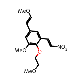 CO/C=C/c1cc(/C=[C]/[N+](=O)[O-])c(OCCOC)c(OC)c1